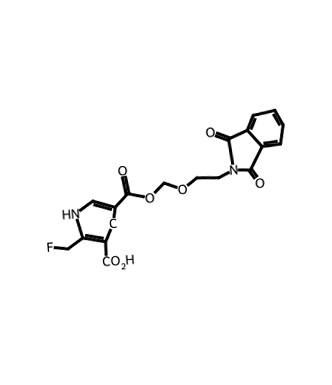 O=C(O)C1=C(CF)NC=C(C(=O)OCOCCN2C(=O)c3ccccc3C2=O)C1